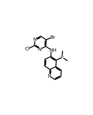 CP(C)c1c(Nc2nc(Cl)ncc2Br)ccc2ncccc12